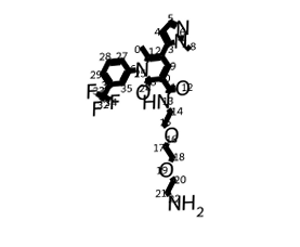 Cc1c(-c2ccnn2C)cc(C(=O)NCCOCCOCCN)c(=O)n1-c1cccc(C(F)(F)F)c1